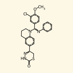 COc1ccc(C(=Nc2ccccc2)N2CCCc3cc(C4=NNC(=O)SC4)ccc32)cc1Cl